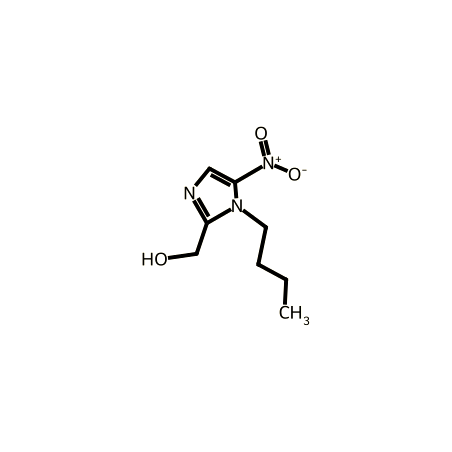 CCCCn1c([N+](=O)[O-])cnc1CO